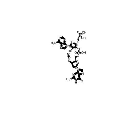 [N-]=[N+]=NC1C[C@H](n2cnc3c(=O)[nH]c(N)nc32)O[C@@H]1COP(=O)(O)O[C@H]1[C@@H](O)[C@H](n2cnc3c(N)ncnc32)O[C@@H]1COP(=O)(O)O